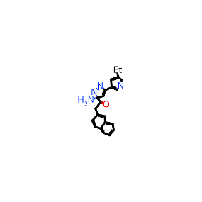 CCc1cncc(C2=CC(N)(C(=O)Cc3ccc4ccccc4c3)N=N2)c1